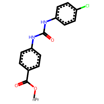 CCCOC(=O)c1ccc(NC(=O)Nc2ccc(Cl)cc2)cc1